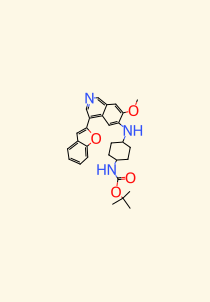 COc1cc2cncc(-c3cc4ccccc4o3)c2cc1NC1CCC(NC(=O)OC(C)(C)C)CC1